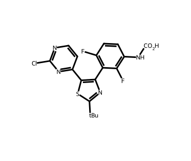 CC(C)(C)c1nc(-c2c(F)ccc(NC(=O)O)c2F)c(-c2ccnc(Cl)n2)s1